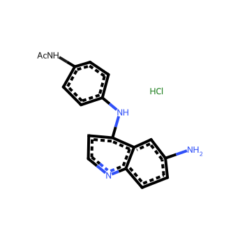 CC(=O)Nc1ccc(Nc2ccnc3ccc(N)cc23)cc1.Cl